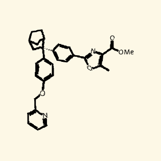 COC(=O)c1nc(-c2ccc([C@]3(c4ccc(OCc5ccccn5)cc4)CC4CCC3C4)cc2)oc1C